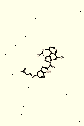 Cc1cccc2c(O)cc3c(c12)[C@H](C(Cl)Cl)CN3C(=O)c1cc2cc(OCCN(C)C)ccc2[nH]1